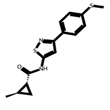 CSc1ccc(-c2cc(NC(=O)[C@@H]3C[C@H]3C)sn2)cc1